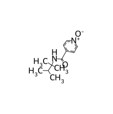 CC(C)C(C)(C)NC(=O)c1cc[n+]([O-])cc1